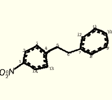 O=[N+]([O-])c1ccc(C[CH]c2ccccc2)cc1